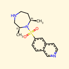 C[C@@H]1CCNC[C@H](C)N1S(=O)(=O)c1ccc2cnccc2c1